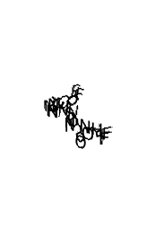 CC(C)n1ncnc1C(=O)N[C@H](c1cn2ncc([C@H](NC(=O)CC3CC(F)(F)C3)C3CCOCC3)cc2n1)C1CCC(F)(F)CC1